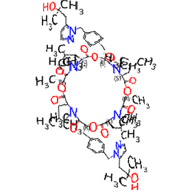 CC(C)CC1C(=O)O[C@H](C)C(=O)N(C)[C@@H](CC(C)C)C(=O)O[C@H](Cc2ccc(Cn3nccc3CC(C)(C)O)cc2)C(=O)N(C)[C@@H](CC(C)C)C(=O)O[C@H](C)C(=O)N(C)[C@@H](CC(C)C)C(=O)O[C@H](Cc2ccc(Cn3nccc3CC(C)(C)O)cc2)C(=O)N1C